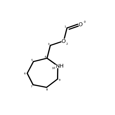 O=COCC1CCCCCN1